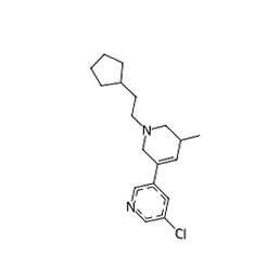 CC1C=C(c2cncc(Cl)c2)CN(CCC2CCCC2)C1